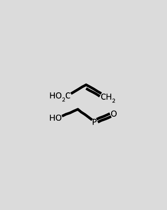 C=CC(=O)O.O=PCO